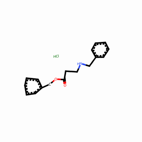 Cl.O=C(CCNCc1ccccc1)OCc1ccccc1